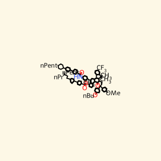 CCCCCC(CCC)CCc1ccc(-c2ccc(C(=O)Oc3cccc4c3c(-c3ccc(NC(=O)c5ccc(-c6ccc(C7CCC(CCCCC)CC7)cc6)cc5)cc3C)cc3c5c(c6c(c34)OC(c3ccc(OC)cc3)(c3ccc(OCCCC)cc3)C=C6)C(C)(C)c3cc(C(F)(F)F)ccc3-5)cc2)cc1